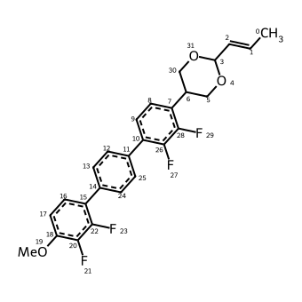 C/C=C/C1OCC(c2ccc(-c3ccc(-c4ccc(OC)c(F)c4F)cc3)c(F)c2F)CO1